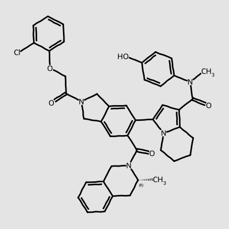 C[C@@H]1Cc2ccccc2CN1C(=O)c1cc2c(cc1-c1cc(C(=O)N(C)c3ccc(O)cc3)c3n1CCCC3)CN(C(=O)COc1ccccc1Cl)C2